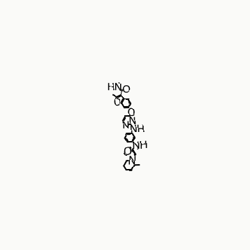 CNC(=O)c1c(C)oc2cc(Oc3ccnc(Nc4cccc(NC(=O)CN5CCCCC5C)c4)n3)ccc12